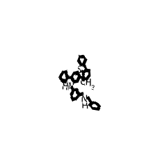 CC1(c2ccc(-c3ccccc3)c(Nc3cccc(CNCc4ccccc4)c3)c2)C=CC=C2c3ccccc3SC21